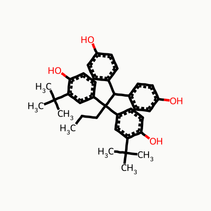 CCCC(c1ccc(O)c(C(C)(C)C)c1)(c1ccc(O)c(C(C)(C)C)c1)C(c1ccc(O)cc1)c1ccc(O)cc1